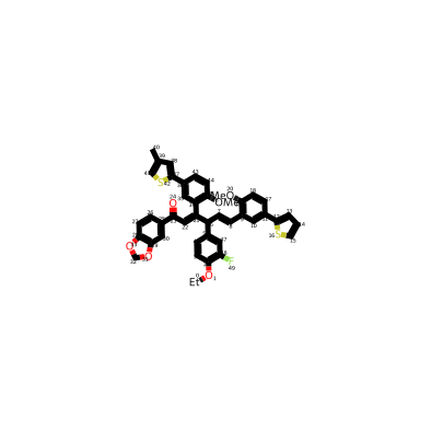 CCOc1ccc(C(C=Cc2cc(-c3cccs3)ccc2OC)C(=CC(=O)c2ccc3c(c2)OCO3)c2cc(-c3cc(C)cs3)ccc2OC)cc1F